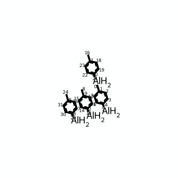 Cc1cc[c]([AlH2])cc1.Cc1cc[c]([AlH2])cc1.Cc1cc[c]([AlH2])cc1.Cc1cc[c]([AlH2])cc1